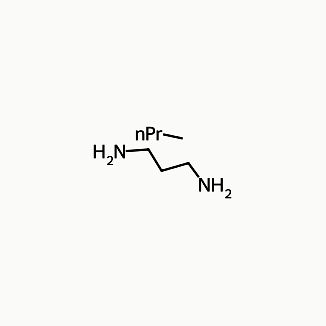 CCCC.NCCCN